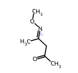 CO/N=C(\C)CC(C)=O